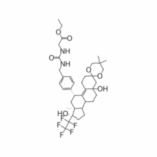 CCOC(=O)CNC(=O)NCc1ccc([C@H]2C[C@@]3(C)C(CC[C@@]3(O)C(F)(F)C(F)(F)F)C3CCC4(O)CC5(CCC4=C32)OCC(C)(C)CO5)cc1